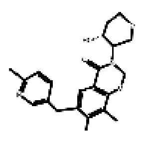 Cc1ccc(Cc2cc3c(c(C)c2C)OCN([C@@H]2COCC[C@H]2O)C3=O)cn1